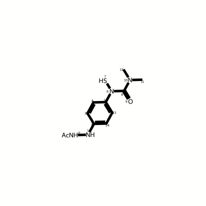 CC(=O)NNc1ccc(N(S)C(=O)N(C)C)cc1